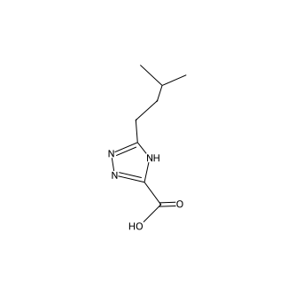 CC(C)CCc1nnc(C(=O)O)[nH]1